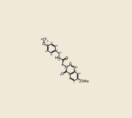 COc1ccc2c(=O)n(CC(=O)NCc3ccc(OC(F)(F)F)cc3)nnc2c1